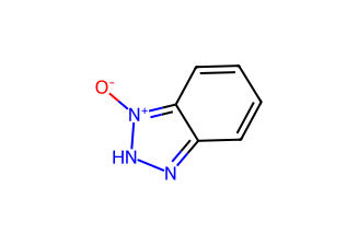 [O-][n+]1[nH]nc2ccccc21